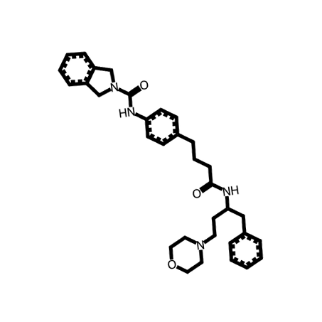 O=C(CCCc1ccc(NC(=O)N2Cc3ccccc3C2)cc1)NC(CCN1CCOCC1)Cc1ccccc1